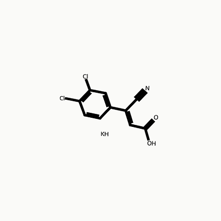 N#CC(=CC(=O)O)c1ccc(Cl)c(Cl)c1.[KH]